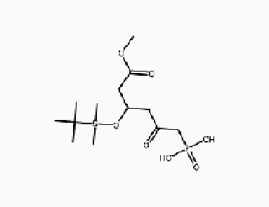 COC(=O)CC(CC(=O)CP(=O)(O)O)O[Si](C)(C)C(C)(C)C